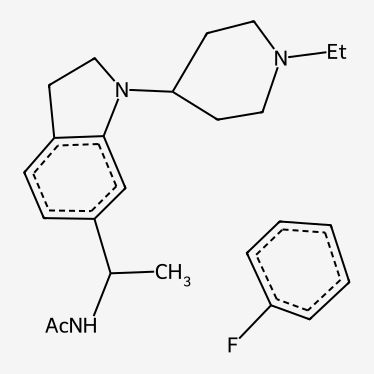 CCN1CCC(N2CCc3ccc(C(C)NC(C)=O)cc32)CC1.Fc1ccccc1